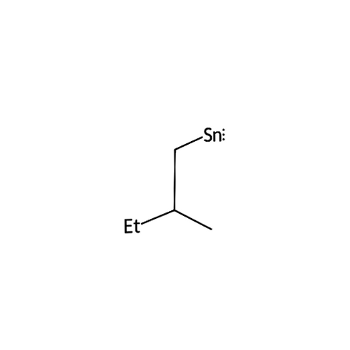 CCC(C)[CH2][Sn]